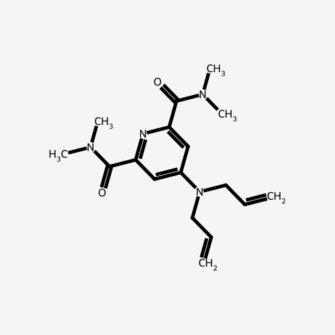 C=CCN(CC=C)c1cc(C(=O)N(C)C)nc(C(=O)N(C)C)c1